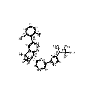 CC1(C)[C@H]2CC[C@]1(c1cncc(-c3nc(C(O)C(F)(F)F)co3)n1)c1nnc(-c3c(F)cccc3F)cc12